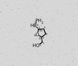 OC[C@@H]1CC[C@H](BP)O1